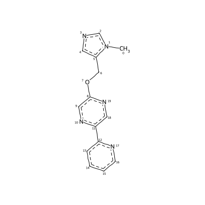 Cn1cncc1COc1cnc(-c2ccccn2)cn1